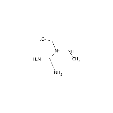 CCN(NC)N(N)N